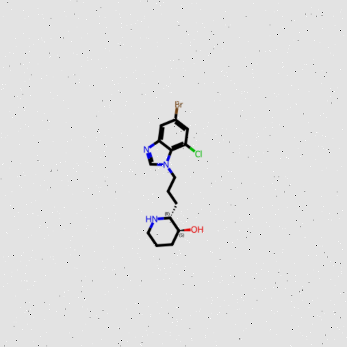 O[C@H]1CCCN[C@@H]1CCCn1cnc2cc(Br)cc(Cl)c21